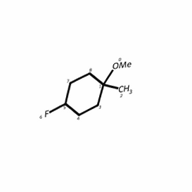 COC1(C)CCC(F)CC1